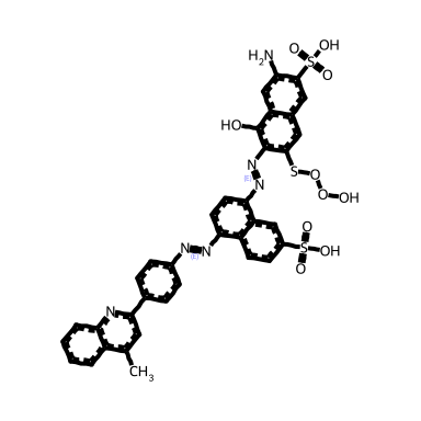 Cc1cc(-c2ccc(/N=N/c3ccc(/N=N/c4c(SOOO)cc5cc(S(=O)(=O)O)c(N)cc5c4O)c4cc(S(=O)(=O)O)ccc34)cc2)nc2ccccc12